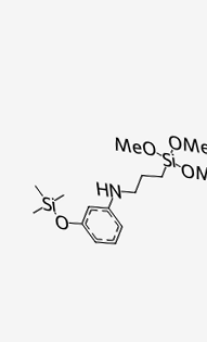 CO[Si](CCCNc1cccc(O[Si](C)(C)C)c1)(OC)OC